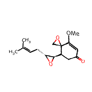 COC1=CC(=O)CC([C@H]2O[C@@H]2CC=C(C)C)[C@@]12CO2